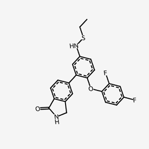 CCSNc1ccc(Oc2ccc(F)cc2F)c(-c2ccc3c(c2)CNC3=O)c1